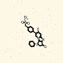 CS(=O)(=O)Cc1ccc(-c2cn3c4c(nc3cc2F)C(=O)C[C@@H]4c2ccccc2)cc1